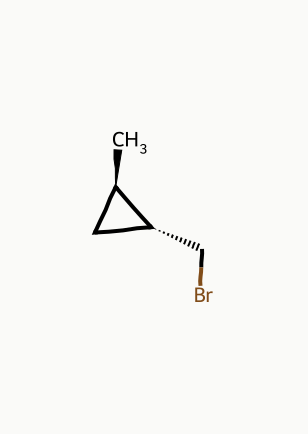 C[C@@H]1C[C@H]1CBr